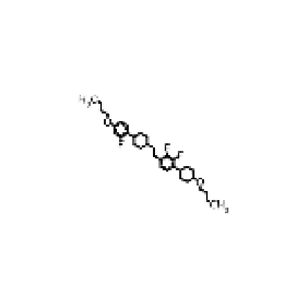 CCCCOc1ccc(C2CCC(CCc3ccc(C4CCC(OCCCC)CC4)c(F)c3F)CC2)c(F)c1